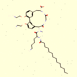 CCCCCCCCCCCCCC(=O)NC(CCCCN)C(=O)N(C)[C@@H]1C(=O)N[C@@H](C)C(=O)N[C@H](C(=O)O)Cc2ccc(OCCN)c(c2)-c2cc1ccc2OCCN